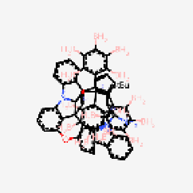 Bc1c(B)c(B)c(C2=CC=CC2(c2c(B)c(B)c(B)c(B)c2B)C2c3ccccc3N3c4cccc5c4C4(/C=C/C(c6c(B)c(B)c(B)c(B)c6B)=C(C(C)(C)C)\C=C(/N)n6c7ccccc7c7ccc(c4c76)O5)C23)c(B)c1B